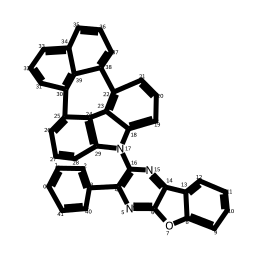 c1ccc(-c2nc3oc4ccccc4c3nc2-n2c3cccc4c3c3c(cccc32)-c2cccc3cccc-4c23)cc1